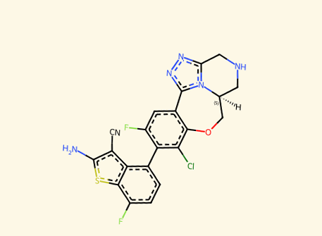 N#Cc1c(N)sc2c(F)ccc(-c3c(F)cc4c(c3Cl)OC[C@@H]3CNCc5nnc-4n53)c12